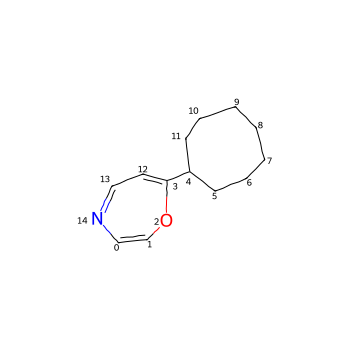 C1=COC(C2CCCCCCC2)=CC=N1